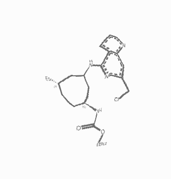 CC[C@H]1CC[C@H](NC(=O)OC(C)(C)C)CC(Nc2nc(CCl)cc3ncccc23)C1